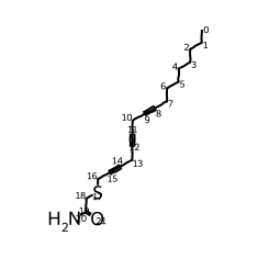 CCCCCCCCC#CCC#CCC#CCSCC(N)=O